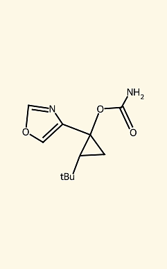 CC(C)(C)C1CC1(OC(N)=O)c1cocn1